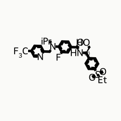 CCS(=O)(=O)c1ccc([C@H](CO)NC(=O)c2ccc(N(Cc3ccc(C(F)(F)F)cn3)C(C)C)c(F)c2)cc1